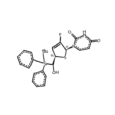 CC(C)(C)[Si](c1ccccc1)(c1ccccc1)C(O)[C@H]1C=C(F)[C@@H](n2ccc(=O)[nH]c2=O)S1